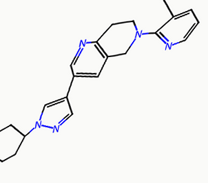 Cc1cccnc1N1CCc2ncc(-c3cnn(C4CCCCC4)c3)cc2C1